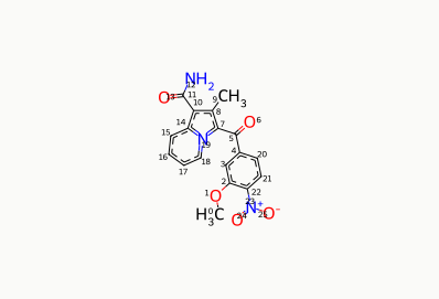 COc1cc(C(=O)c2c(C)c(C(N)=O)c3ccccn23)ccc1[N+](=O)[O-]